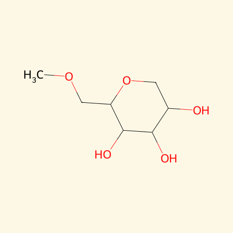 COCC1OCC(O)C(O)C1O